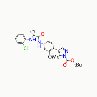 COc1cc(NC(=O)C2(Nc3ccccc3Cl)CC2)ccc1-c1cnn(C(=O)OC(C)(C)C)c1